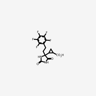 O=C1NC(=O)C(CCc2c(F)c(F)c(F)c(F)c2F)(C2CC2C(=O)O)N1